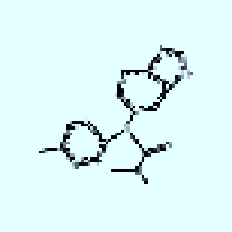 Cc1ccc(N(C(=O)N(C)C)c2ccc3nc[nH]c3c2)nn1